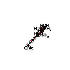 COCCOCCOCCOCCOCCOCCOCCOC(=O)NCCCC[C@H](NC(=O)[C@H](Cc1c(C)cc(O)cc1C)NC(=O)CN)C(=O)NCC(N)=O